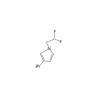 CC(C)c1ccn(CC(F)F)c1